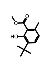 COC(=O)c1c(C)ccc(C(C)(C)C)c1O